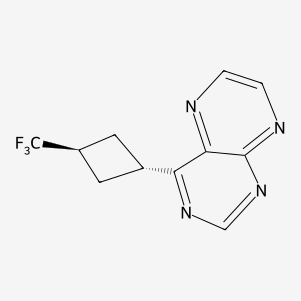 FC(F)(F)[C@H]1C[C@H](c2ncnc3nccnc32)C1